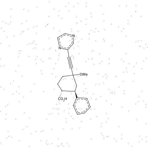 COC1(C#Cc2cnccn2)CC[C@@H](C(=O)O)[C@H](c2ccccc2)C1